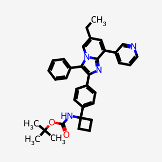 CCc1cc(-c2cccnc2)c2nc(-c3ccc(C4(NC(=O)OC(C)(C)C)CCC4)cc3)c(-c3ccccc3)n2c1